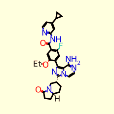 CCOc1cc(C(=O)Nc2cc(C3CC3)ccn2)c(F)cc1-c1nc([C@@H]2CC[C@H]3CCC(=O)N3C2)n2ccnc(N)c12